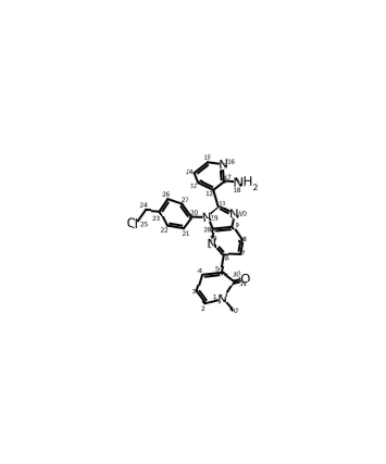 Cn1cccc(-c2ccc3nc(-c4cccnc4N)n(-c4ccc(CCl)cc4)c3n2)c1=O